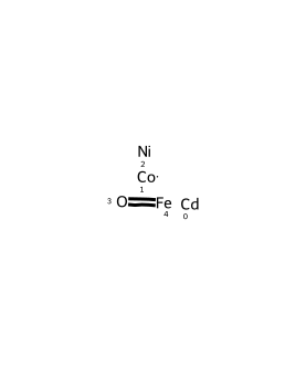 [Cd].[Co].[Ni].[O]=[Fe]